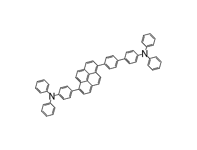 c1ccc(N(c2ccccc2)c2ccc(-c3ccc(-c4ccc5ccc6c(-c7ccc(N(c8ccccc8)c8ccccc8)cc7)ccc7ccc4c5c76)cc3)cc2)cc1